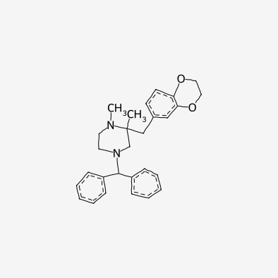 CN1CCN(C(c2ccccc2)c2ccccc2)CC1(C)Cc1ccc2c(c1)OCCO2